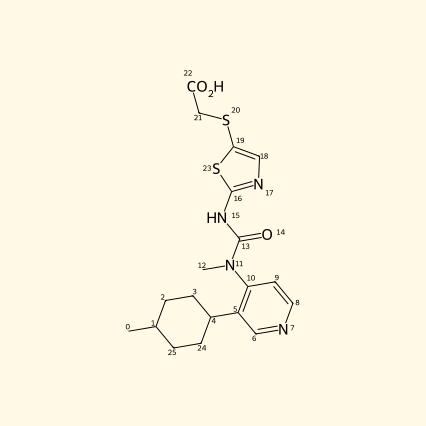 CC1CCC(c2cnccc2N(C)C(=O)Nc2ncc(SCC(=O)O)s2)CC1